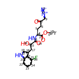 CC(C)OC(=O)[C@H](CCC(=O)C=[N+]=[N-])NC(=O)[C@@H](O)Cc1c[nH]c2cccc(F)c12